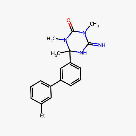 CCc1cccc(-c2cccc(C3(C)NC(=N)N(C)C(=O)N3C)c2)c1